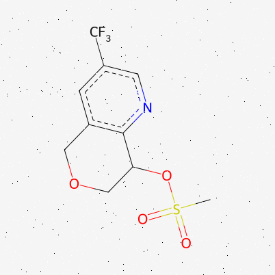 CS(=O)(=O)OC1COCc2cc(C(F)(F)F)cnc21